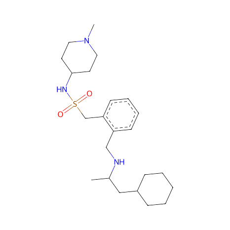 CC(CC1CCCCC1)NCc1ccccc1CS(=O)(=O)NC1CCN(C)CC1